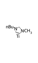 CCCCN1C=CN(C)C1.[Ti]